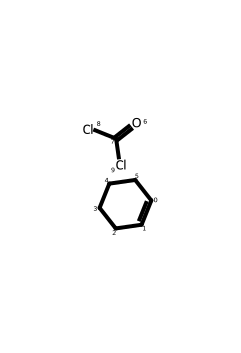 C1=CCCCC1.O=C(Cl)Cl